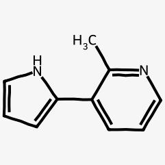 Cc1ncccc1-c1ccc[nH]1